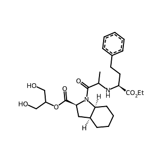 CCOC(=O)[C@H](CCc1ccccc1)NC(C)C(=O)N1[C@H](C(=O)OC(CO)CO)C[C@@H]2CCCC[C@@H]21